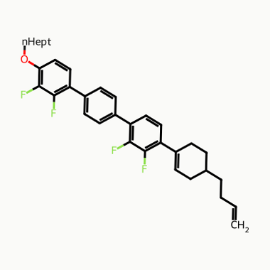 C=CCCC1CC=C(c2ccc(-c3ccc(-c4ccc(OCCCCCCC)c(F)c4F)cc3)c(F)c2F)CC1